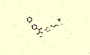 CN(C/C=C/C(=O)N1CCC(n2c(F)c(-c3ccc(Oc4ccccc4)cc3)c3c(N)ncnc32)C1)C1CC1